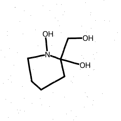 OCC1(O)CCCCN1O